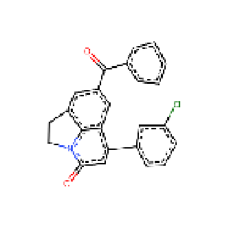 O=C(c1ccccc1)c1cc2c3c(c1)c(-c1cccc(Cl)c1)cc(=O)n3CC2